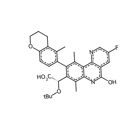 Cc1c(-c2c([C@H](OC(C)(C)C)C(=O)O)c(C)c3nc(O)c4cc(F)cnc4c3c2C)ccc2c1CCCO2